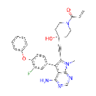 C=CC(=O)N1CCC(O)(C#Cc2c(-c3ccc(Oc4ccccc4)c(F)c3)c3c(N)ncnc3n2C)CC1